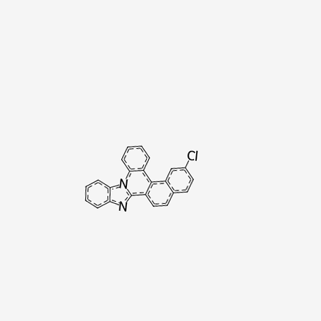 Clc1ccc2ccc3c(c2c1)c1ccccc1n1c2ccccc2nc31